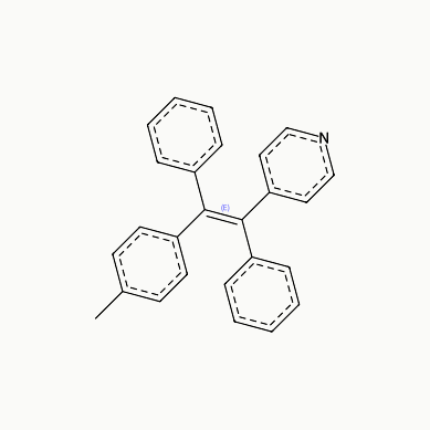 Cc1ccc(/C(=C(\c2ccccc2)c2ccncc2)c2ccccc2)cc1